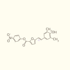 Cc1cc(/C=C/c2ccc(C(=O)Oc3ccc([N+](=O)[O-])cc3)o2)cc(C)c1O